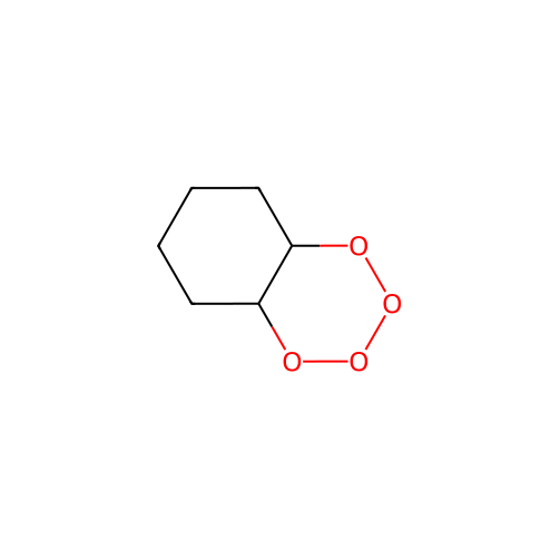 C1CCC2OOOOC2C1